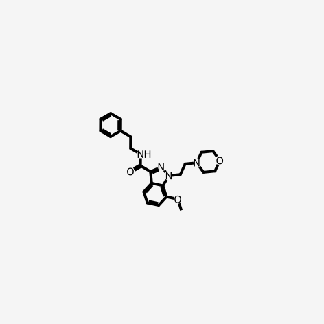 COc1cccc2c(C(=O)NCCc3ccccc3)nn(CCN3CCOCC3)c12